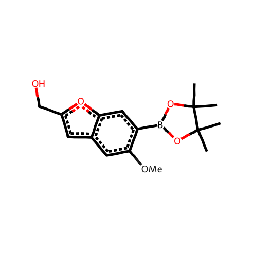 COc1cc2cc(CO)oc2cc1B1OC(C)(C)C(C)(C)O1